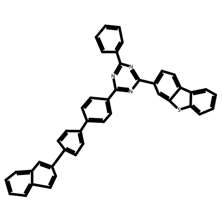 c1ccc(-c2nc(-c3ccc(-c4ccc(-c5ccc6ccccc6c5)cc4)cc3)nc(-c3ccc4c(c3)sc3ccccc34)n2)cc1